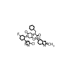 Cn1cc2cc(NC(=O)C(Cc3ccccc3)N3CC(=O)N(c4cc(F)ccc4-n4cc(Cl)nn4)CC3=O)ccc2n1